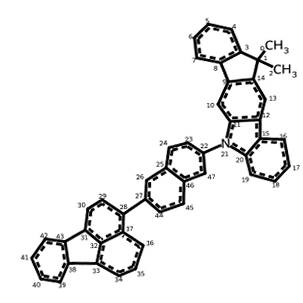 CC1(C)c2ccccc2-c2cc3c(cc21)c1ccccc1n3-c1ccc2cc(-c3ccc4c5c(cccc35)-c3ccccc3-4)ccc2c1